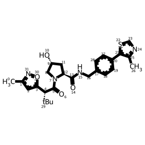 Cc1cc([C@H](C(=O)N2C[C@H](O)C[C@H]2C(=O)NCc2ccc(-c3scnc3C)cc2)C(C)(C)C)on1